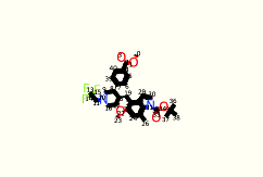 COC(=O)c1ccc([C@H]2CN(CC(F)(F)F)CC[C@@H]2Cc2c(OC)cc(C)c3c2ccn3C(=O)OC(C)(C)C)cc1